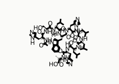 CC(=O)N[C@@H](Cc1cnc[nH]1)C(=O)N[C@@H](CO)C(=O)N[C@@H](CC(C)C)C(=O)N[C@@H](Cc1c[nH]c2ccccc12)C(=O)N[C@@H](Cc1cnc[nH]1)C(=O)N[C@@H](CC(C)C)C(=O)N[C@@H](CC(C)C)C(=O)N[C@@H](CC(C)C)C(=O)N[C@@H](Cc1cnc[nH]1)C(=O)N[C@@H](C)C(=O)O